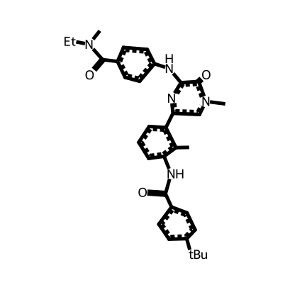 CCN(C)C(=O)c1ccc(Nc2nc(-c3cccc(NC(=O)c4ccc(C(C)(C)C)cc4)c3C)cn(C)c2=O)cc1